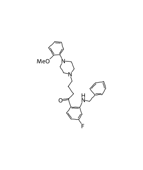 COc1ccccc1N1CCN(CCCC(=O)c2ccc(F)cc2NCc2ccccc2)CC1